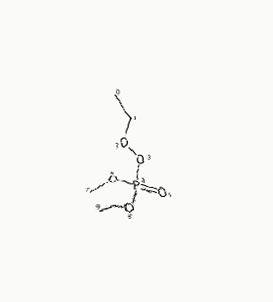 CCOOP(=O)(OC)OC